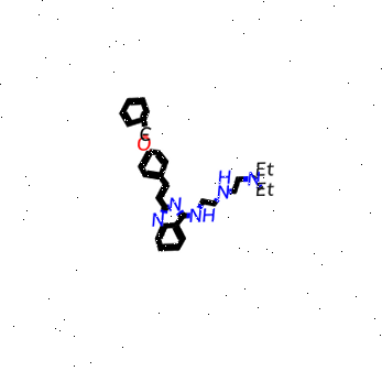 CCN(CC)CCNCCNc1nc(/C=C/c2ccc(OCc3ccccc3)cc2)nc2ccccc12